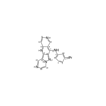 CC(C)c1cccc(Nc2c3cnccc3nc3c2nn2ccncc32)c1